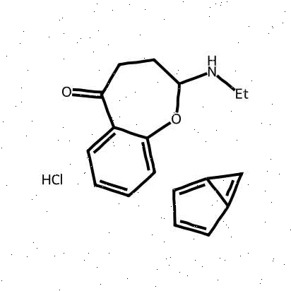 CCNC1CCC(=O)c2ccccc2O1.Cl.c1cc2cc-2c1